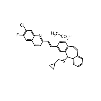 CC(=O)O.Fc1cc2ccc(C=Cc3ccc4c(c3)C(SCC3CC3)c3ccccc3C=C4)nc2cc1Cl